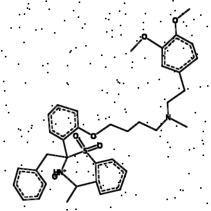 COc1ccc(CCN(C)CCCCOc2ccccc2C2(Cc3ccccc3)[NH+]([O-])C(C)c3ccccc3S2(=O)=O)cc1OC